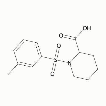 Cc1[c]ccc(S(=O)(=O)N2CCCCC2C(=O)O)c1